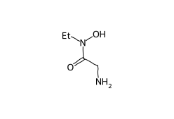 CCN(O)C(=O)CN